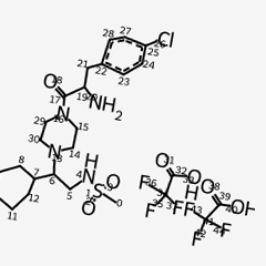 CS(=O)(=O)NCC(C1CCCCC1)N1CCN(C(=O)C(N)Cc2ccc(Cl)cc2)CC1.O=C(O)C(F)(F)F.O=C(O)C(F)(F)F